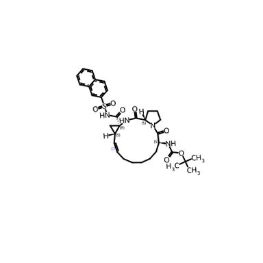 CC(C)(C)OC(=O)N[C@H]1CCCCC/C=C\[C@@H]2C[C@@]2(C(=O)NS(=O)(=O)c2ccc3ccccc3c2)NC(=O)[C@@H]2CCCN2C1=O